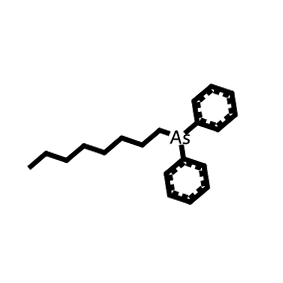 CCCCCCCC[As](c1ccccc1)c1ccccc1